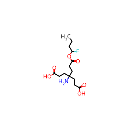 CCCC(F)OC(=O)CCC(N)(CCC(=O)O)CCC(=O)O